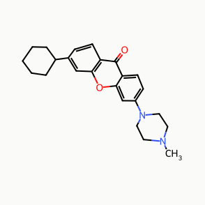 CN1CCN(c2ccc3c(=O)c4ccc(C5CCCCC5)cc4oc3c2)CC1